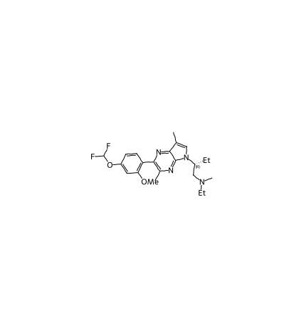 CC[C@H](CN(C)CC)n1cc(C)c2nc(-c3ccc(OC(F)F)cc3OC)c(C)nc21